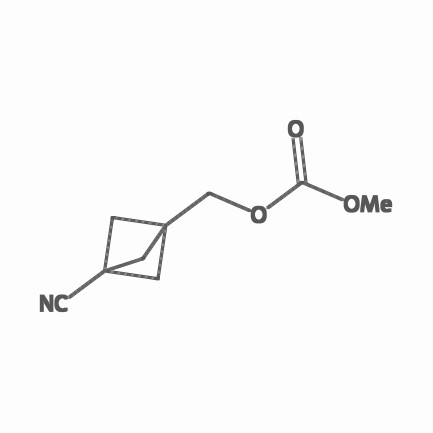 COC(=O)OCC12CC(C#N)(C1)C2